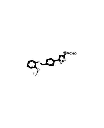 O=CNc1cc(-c2ccc(COc3ccccc3OC(F)(F)F)cc2)no1